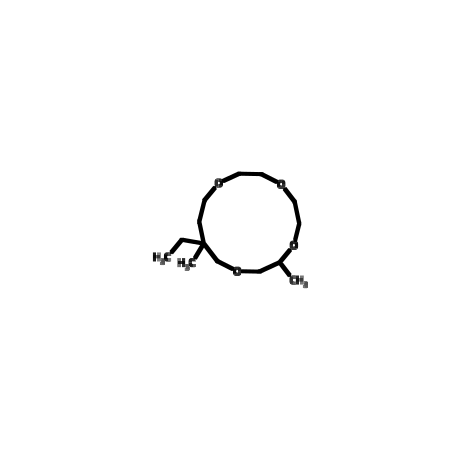 CCC1(C)CCOCCOCCOC(C)COC1